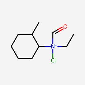 CC[N+](Cl)(C=O)C1CCCCC1C